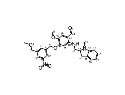 COCc1cc(COc2cc(NCC3Cc4ccccc4N3C)c(C=O)cc2OC)cc([N+](=O)[O-])c1